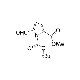 COC(=O)c1ccc(C=O)n1C(=O)OC(C)(C)C